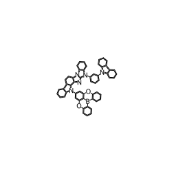 c1cc(-n2c3ccccc3c3ccccc32)cc(-n2c3ccccc3n3c4ccc5c6ccccc6n(-c6cc7c8c(c6)Oc6ccccc6B8c6ccccc6O7)c5c4nc23)c1